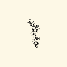 Cc1cc(N2CC(NC(=O)c3ccc(Br)s3)CC2=O)ccc1C(=O)N1CCC(N(C)C)CC1